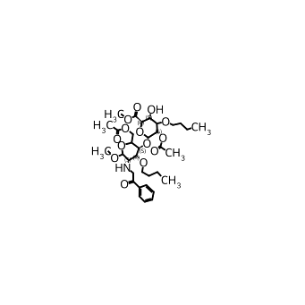 CCCCOC1[C@H](OC(C)=O)C(O[C@@H]2C(COC(C)=O)OC(OC)[C@@H](NCC(=O)c3ccccc3)[C@H]2OCCCC)O[C@@H](C(=O)OC)[C@H]1O